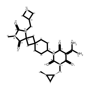 C[C@@H]1C[C@H]1CN1C(=O)C(=C(N)N)C(=O)N(C2CCC3(CC2)CC2(C3)C(=O)N(C)C(=O)N2CC2COC2)C1=O